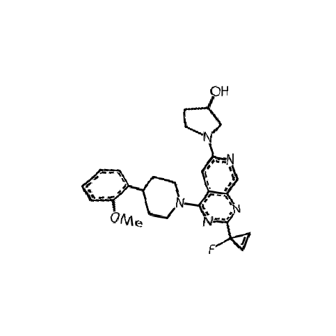 COc1ccccc1C1CCN(c2nc(C3(F)C=C3)nc3cnc(N4CCC(O)C4)cc23)CC1